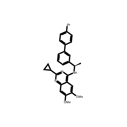 COc1cc2nc(C3CC3)nc(N[C@H](C)c3cccc(-c4ccc(C(C)C)cc4)c3)c2cc1OC